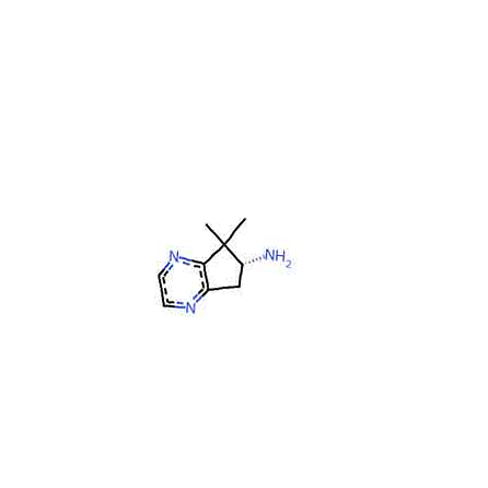 CC1(C)c2nccnc2C[C@H]1N